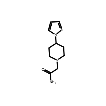 NC(=O)CN1CCC(n2c[c]cn2)CC1